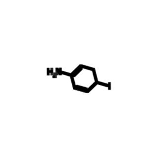 NC1=CCC(I)C=C1